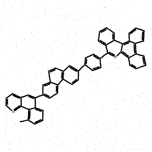 Cc1cccc2c(-c3ccc4c(ccc5cc(-c6ccc(-c7nc8c9ccccc9c9ccccc9c8c8ccccc78)cc6)ccc54)c3)cc3cccnc3c12